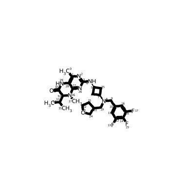 Cc1nc(N[C@H]2C[C@H](N(Cc3cc(F)c(F)c(F)c3)CC3CCOC3)C2)nc2c1NC(=O)C(C(C)C)N2C